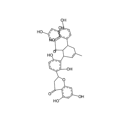 CC1=CC(c2c(O)ccc(C3CC(=O)c4c(O)cc(O)cc4O3)c2O)C(C(=O)c2cc(O)cc(O)c2)C(c2ccc(O)cc2O)C1